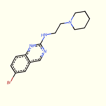 Brc1ccc2nc(NCCN3CCCCC3)ncc2c1